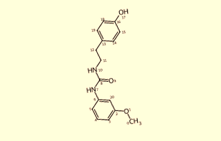 COc1cccc(NC(=O)NCCc2ccc(O)cc2)c1